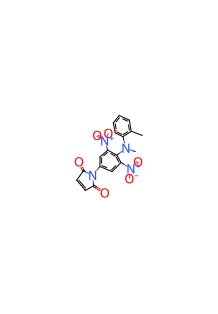 Cc1ccccc1N(C)c1c([N+](=O)[O-])cc(N2C(=O)C=CC2=O)cc1[N+](=O)[O-]